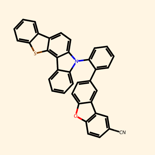 N#Cc1ccc2oc3ccc(-c4ccccc4-n4c5ccccc5c5c6sc7ccccc7c6ccc54)cc3c2c1